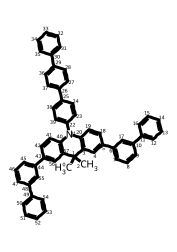 CC1(C)c2cc(-c3cccc(-c4ccccc4)c3)ccc2N(c2ccc(-c3ccc(-c4ccccc4)cc3)cc2)c2ccc(-c3cccc(-c4ccccc4)c3)cc21